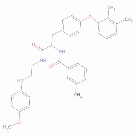 COc1ccc(NCCNC(=O)C(Cc2ccc(Oc3cccc(C)c3C)cc2)NC(=O)c2cccc(C)c2)cc1